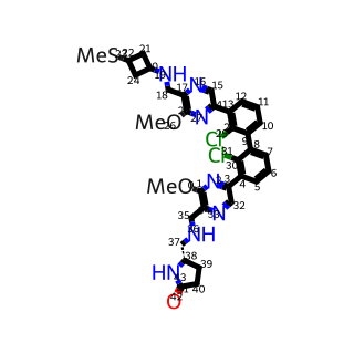 COc1nc(-c2cccc(-c3cccc(-c4cnc(CNC5CC(SC)C5)c(OC)n4)c3Cl)c2Cl)cnc1CNC[C@@H]1CCC(=O)N1